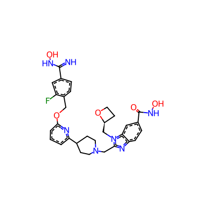 N=C(NO)c1ccc(COc2cccc(C3CCN(Cc4nc5ccc(C(=O)NO)cc5n4C[C@@H]4CCO4)CC3)n2)c(F)c1